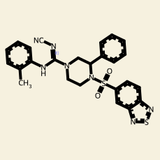 Cc1ccccc1N/C(=N\C#N)N1CCN(S(=O)(=O)c2ccc3nsnc3c2)C(c2ccccc2)C1